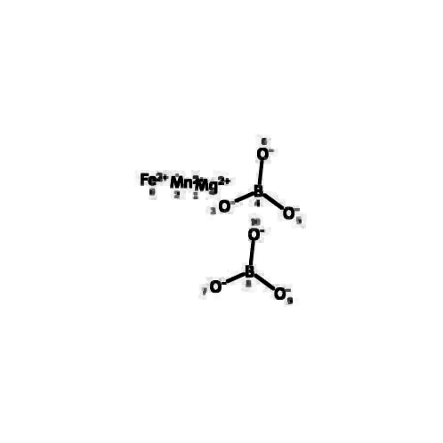 [Fe+2].[Mg+2].[Mn+2].[O-]B([O-])[O-].[O-]B([O-])[O-]